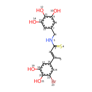 C/C(=C\C(=S)NCc1cc(O)c(O)c(O)c1)c1cc(O)c(O)c(Br)c1